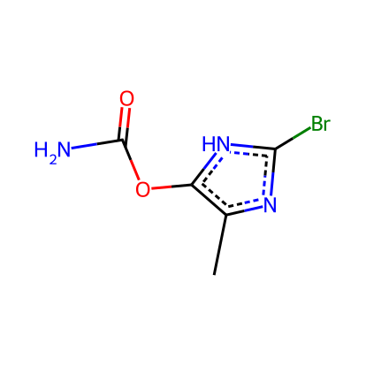 Cc1nc(Br)[nH]c1OC(N)=O